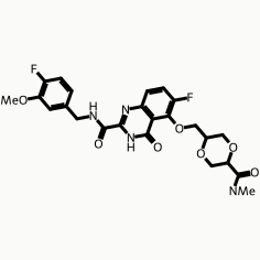 CNC(=O)C1COC(COc2c(F)ccc3nc(C(=O)NCc4ccc(F)c(OC)c4)[nH]c(=O)c23)CO1